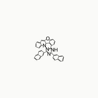 c1ccc2cc(C3=NC(c4ccc5ccccc5c4)NC(c4cccc5oc6cc7ccccc7nc6c45)=N3)ccc2c1